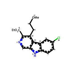 CCOC(=O)c1ncc2[nH]c3ccc(Cl)cc3c2c1CCOC